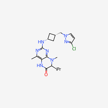 Cc1nc(N[C@H]2C[C@@H](Cn3ccc(Cl)n3)C2)nc2c1NC(=O)C(C(C)C)N2C